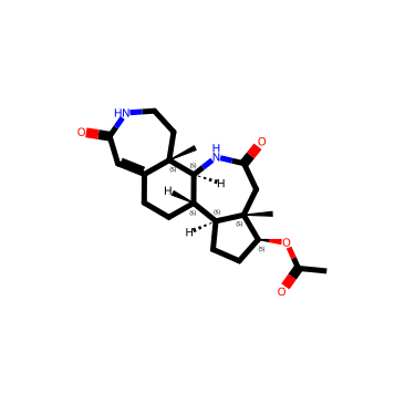 CC(=O)O[C@H]1CC[C@H]2[C@@H]3CCC4=CC(=O)NCC[C@]4(C)[C@H]3NC(=O)C[C@]12C